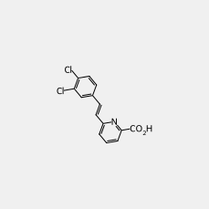 O=C(O)c1cccc(C=Cc2ccc(Cl)c(Cl)c2)n1